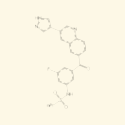 CCCS(=O)(=O)Nc1cc(F)cc(C(=O)c2ccc3ncc(-c4cn[nH]c4)cc3c2)c1